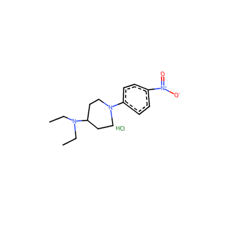 CCN(CC)C1CCN(c2ccc([N+](=O)[O-])cc2)CC1.Cl